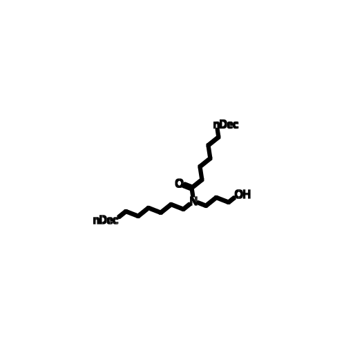 CCCCCCCCCCCCCCCCN(CCCO)C(=O)CCCCCCCCCCCCCCC